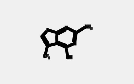 Nc1nc(O)c2c(C(F)(F)F)csc2n1